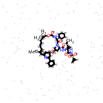 C=C[C@@H]1C[C@]1(NC(=O)[C@@H]1C[C@@H]2CN1C(=O)[C@H](C1CCCCC1)NC(=O)OCC(C)(C)C/C=C/c1cc3c(cc(-c4ccccc4)nc3cc1OC)O2)C(=O)NS(=O)(=O)C1CC1